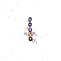 CC(C)([C@@H]1CCN(c2ccc(-c3ccccn3)cc2)C(=O)C1)S(=O)(=O)c1cccc(C(F)(F)F)c1